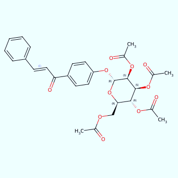 CC(=O)OC[C@H]1O[C@H](Oc2ccc(C(=O)/C=C/c3ccccc3)cc2)[C@@H](OC(C)=O)[C@@H](OC(C)=O)[C@@H]1OC(C)=O